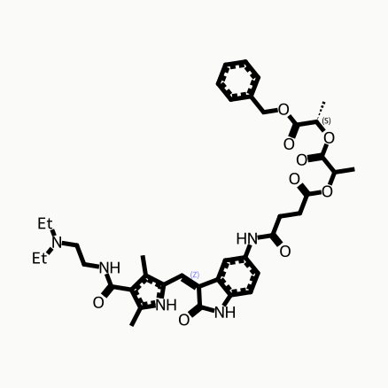 CCN(CC)CCNC(=O)c1c(C)[nH]c(/C=C2\C(=O)Nc3ccc(NC(=O)CCC(=O)OC(C)C(=O)O[C@@H](C)C(=O)OCc4ccccc4)cc32)c1C